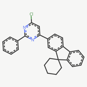 Clc1cc(-c2ccc3c(c2)C2(CCCCC2)c2ccccc2-3)nc(-c2ccccc2)n1